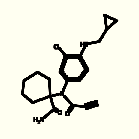 C#CC(=O)N(c1ccc(NCC2CC2)c(Cl)c1)C1(C(N)=O)CCCCC1